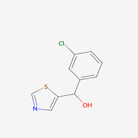 OC(c1cccc(Cl)c1)c1cncs1